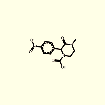 CN1CCN(C(=O)O)C(c2ccc([N+](=O)[O-])cc2)C1=O